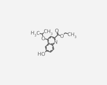 CCOC(=O)c1cc(OC(C)C)c2cc(O)ccc2n1